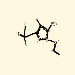 [CH2]c1c(C(F)(F)F)nn(OCC)c1N